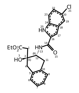 CCOC(=O)C[C@@]1(O)Cc2ccccc2C[C@H]1NC(=O)c1cc2cc(Cl)ccc2[nH]1